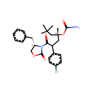 CC(C)(C)C[C@@](C)(CC(C(=O)N1C(=O)OC[C@@H]1Cc1ccccc1)c1ccc(Cl)cc1)OC(N)=O